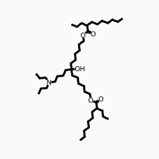 CCCCCCCC(CCC)C(=O)OCCCCCCC(O)(CCCCCCOC(=O)C(CCC)CCCCCCC)CCCCN(CCC)CCC